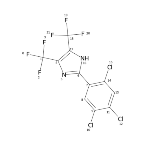 FC(F)(F)c1nc(-c2cc(Cl)c(Cl)cc2Cl)[nH]c1C(F)(F)F